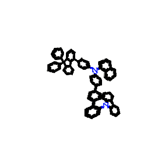 c1ccc(C2(c3ccccc3)c3ccccc3-c3c(-c4ccc(N(c5ccc(-c6ccc(-c7ccccc7-n7c8ccccc8c8ccccc87)cc6)cc5)c5cccc6ccccc56)cc4)cccc32)cc1